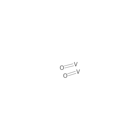 [O]=[V].[O]=[V]